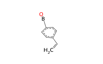 C=Cc1ccc(B=O)cc1